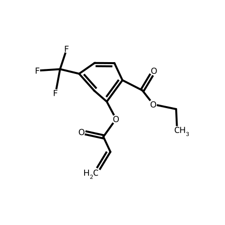 C=CC(=O)Oc1cc(C(F)(F)F)ccc1C(=O)OCC